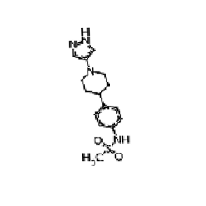 CS(=O)(=O)Nc1ccc(C2CCN(c3cn[nH]c3)CC2)cc1